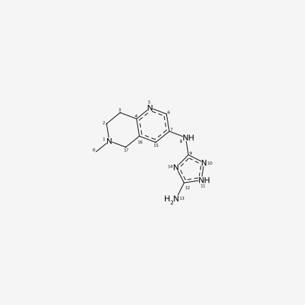 CN1CCc2ncc(Nc3n[nH]c(N)n3)cc2C1